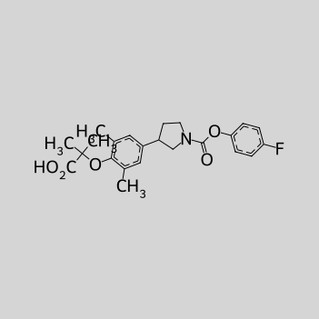 Cc1cc(C2CCN(C(=O)Oc3ccc(F)cc3)C2)cc(C)c1OC(C)(C)C(=O)O